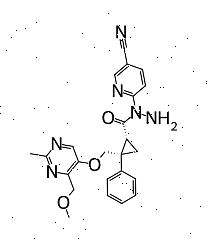 COCc1nc(C)ncc1OC[C@@]1(c2ccccc2)C[C@H]1C(=O)N(N)c1ccc(C#N)cn1